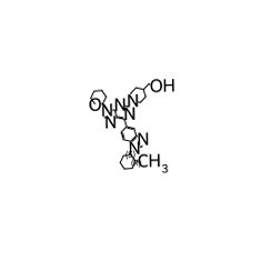 C[C@@H]1CCCC[C@@H]1n1cnc2cc(-c3nc(N4CCC(CO)CC4)nc4c3ncn4C3CCCCO3)ccc21